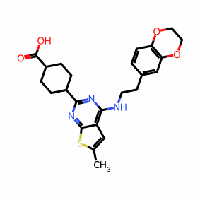 Cc1cc2c(NCCc3ccc4c(c3)OCCO4)nc(C3CCC(C(=O)O)CC3)nc2s1